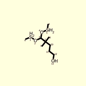 C[SiH2]OC(O[SiH2]C)C(C)(C)CCCO